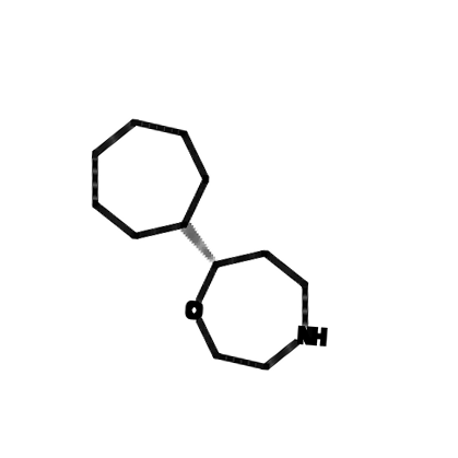 C1CCCC([C@@H]2CCNCCO2)CC1